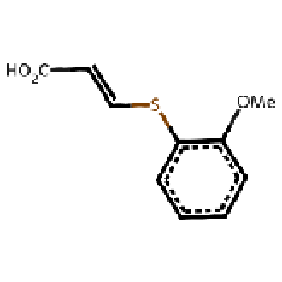 COc1ccccc1S/C=C/C(=O)O